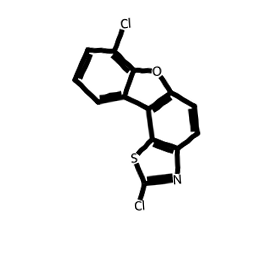 Clc1nc2ccc3oc4c(Cl)cccc4c3c2s1